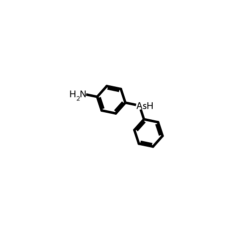 Nc1ccc([AsH]c2ccccc2)cc1